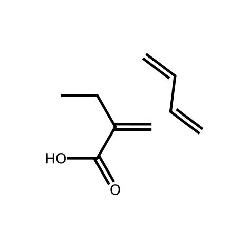 C=C(CC)C(=O)O.C=CC=C